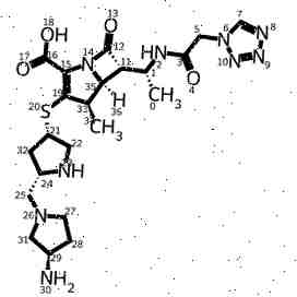 C[C@@H](NC(=O)Cn1cnnn1)[C@H]1C(=O)N2C(C(=O)O)=C(S[C@@H]3CN[C@H](CN4CC[C@@H](N)C4)C3)[C@H](C)[C@H]12